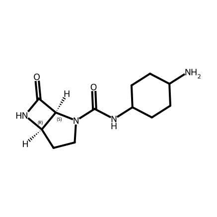 NC1CCC(NC(=O)N2CC[C@H]3NC(=O)[C@H]32)CC1